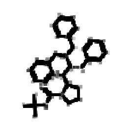 CC(C)(C)OC(=O)N1CCC[C@@H]1[C@@H](O)[C@@H](Cc1ccccc1)N(Cc1ccccc1)Cc1ccccc1